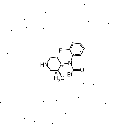 CCC(=O)N(c1ccccc1F)[C@@H]1CCNC[C@@H]1C